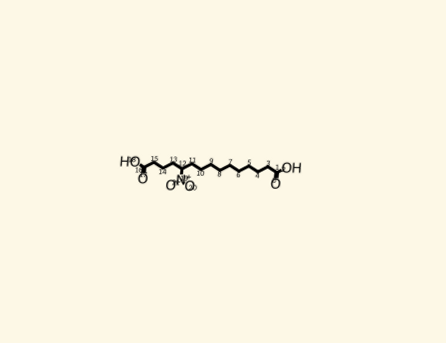 O=C(O)CCCCCCCCCC(CCCC(=O)O)[N+](=O)[O-]